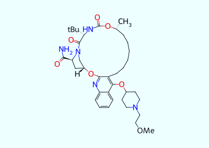 COCCN1CCC(Oc2c3c(nc4ccccc24)O[C@@H]2C[C@@H](C(N)=O)N(C2)C(=O)[C@H](C(C)(C)C)NC(=O)O[C@H](C)CCCCCC3)CC1